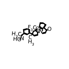 CC(=NO)c1cccc(C2(C)C=CC(n3ccc(=O)c4ccccc43)C(O)(C(F)(F)F)C2)c1